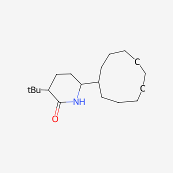 CC(C)(C)C1CCC(C2CCCCCCCCC2)NC1=O